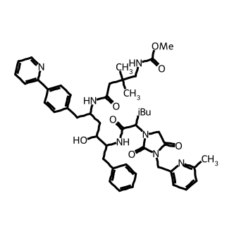 CCC(C)C(C(=O)NC(Cc1ccccc1)C(O)CC(Cc1ccc(-c2ccccn2)cc1)NC(=O)CC(C)(C)CNC(=O)OC)N1CC(=O)N(Cc2cccc(C)n2)C1=O